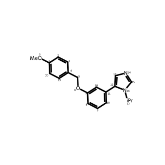 COc1ccc(COc2cccc(-c3cncn3C(C)C)c2)cc1